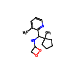 Cc1cccnc1C(NC1COO1)C1(C)CCCC1